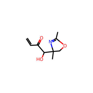 C=CC(=O)C(O)C1(C)COC(C)=N1